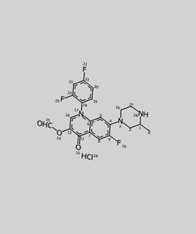 CC1CN(c2cc3c(cc2F)c(=O)c(OC=O)cn3-c2ccc(F)cc2F)CCN1.Cl